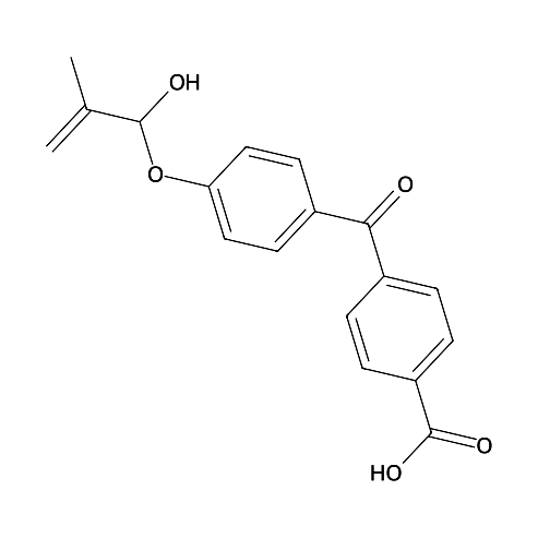 C=C(C)C(O)Oc1ccc(C(=O)c2ccc(C(=O)O)cc2)cc1